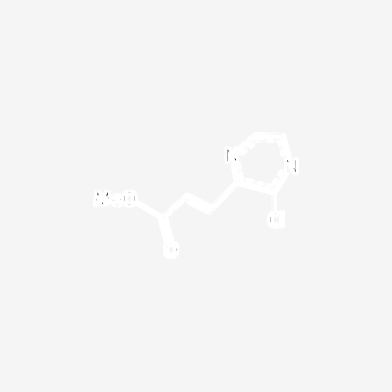 COC(=O)C=Cc1nccnc1Cl